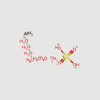 O.O.O.O.O.O.O.O=S(=O)(O)O.[AlH3]